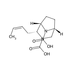 C/C=C\C[C@@H]1[C@@H]2CC[C@H](CN1C(=O)O)N2C(=O)O